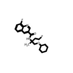 CC(CCF)(COC1CCCCC1)NC(=O)c1cnc2c(F)cccc2c1